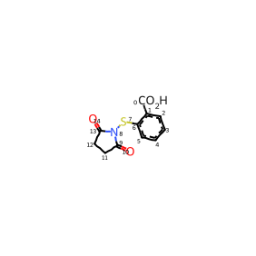 O=C(O)c1ccccc1SN1C(=O)CCC1=O